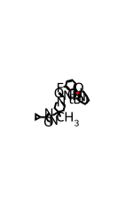 CC(C)(C)OC(=O)N1C2CCC1CN(c1cccc(F)c1NC(=O)N1CCC(C)(c3noc(C4CC4)n3)CC1)C2